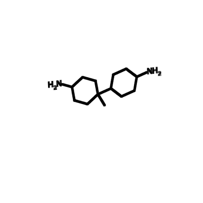 CC1(C2CCC(N)CC2)CCC(N)CC1